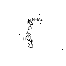 CC(=O)Nc1nnc(C2CCC(Cc3nnc(NC(=O)Cc4ccccc4F)s3)C2)s1